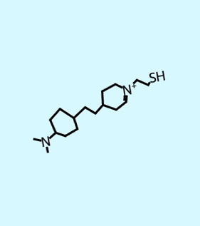 CN(C)C1CCC(CCC2CC=[N+](CCS)CC2)CC1